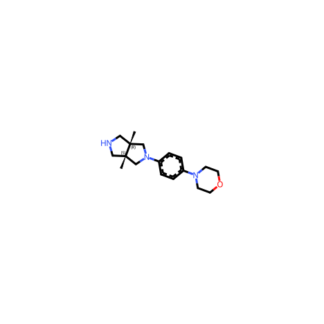 C[C@@]12CNC[C@]1(C)CN(c1ccc(N3CCOCC3)cc1)C2